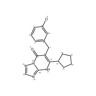 O=c1c(Cc2cccc(Cl)c2)c(C2CCCC2)[nH]c2ncnn12